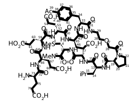 CNC(=O)[C@H](CSC)NC(=O)CNC(=O)[C@H](CC(C)C)NC(=O)[C@@H]1CCCN1C(=O)COCCNC(=O)[C@H](Cc1ccc(C(C)=O)cc1)NC(=O)[C@@H](CCC(=O)O)NC(=O)[C@@H](CCC(=O)O)NC(=O)[C@@H](CCC(=O)O)NC(=O)[C@@H](CCC(=O)O)NC(=O)[C@H](N)CCC(=O)O